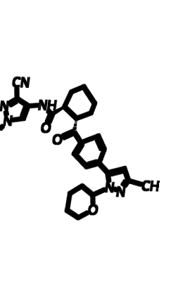 Cc1cc(-c2ccc(C(=O)[C@H]3CCCC[C@@H]3C(=O)Nc3cn(C)nc3C#N)cc2)n(C2CCCCO2)n1